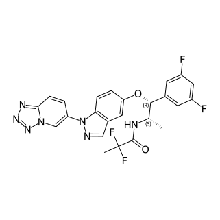 C[C@H](NC(=O)C(C)(F)F)[C@H](Oc1ccc2c(cnn2-c2ccc3nnnn3c2)c1)c1cc(F)cc(F)c1